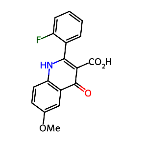 COc1ccc2[nH]c(-c3ccccc3F)c(C(=O)O)c(=O)c2c1